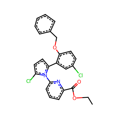 CCOC(=O)c1cccc(-n2c(Cl)ccc2-c2cc(Cl)ccc2OCc2ccccc2)n1